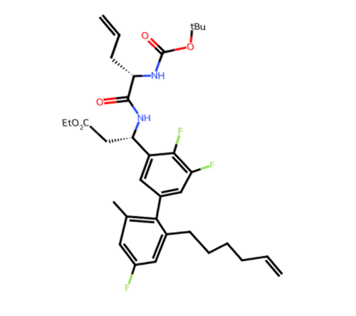 C=CCCCCc1cc(F)cc(C)c1-c1cc(F)c(F)c([C@H](CC(=O)OCC)NC(=O)[C@H](CC=C)NC(=O)OC(C)(C)C)c1